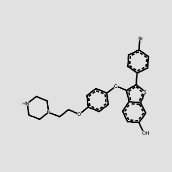 Oc1ccc2c(Oc3ccc(OCCN4CCNCC4)cc3)c(-c3ccc(Br)cc3)sc2c1